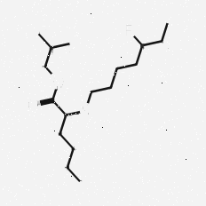 CCCCC(SCCCCC(F)CC)C(=O)OCC(C)C